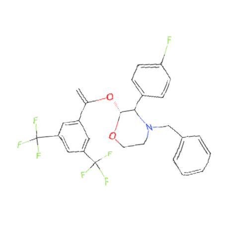 C=C(O[C@H]1OCCN(Cc2ccccc2)C1c1ccc(F)cc1)c1cc(C(F)(F)F)cc(C(F)(F)F)c1